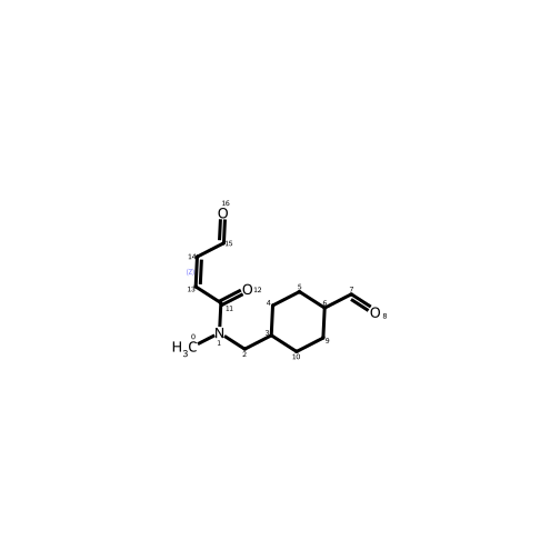 CN(CC1CCC(C=O)CC1)C(=O)/C=C\C=O